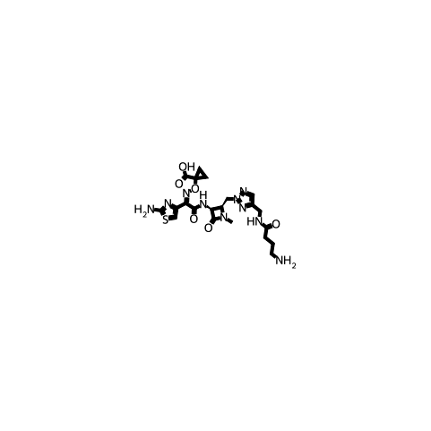 CN1C(=O)[C@@H](NC(=O)/C(=N\OC2(C(=O)O)CC2)c2csc(N)n2)[C@H]1Cn1ncc(CNC(=O)CCCN)n1